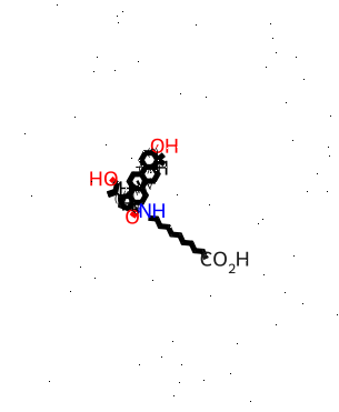 C=C(CO)[C@@H]1CC[C@]2(C(=O)NCCCCCCCCCCC(=O)O)CC[C@]3(C)[C@H](CCC4[C@@]5(C)CC[C@H](O)C(C)(C)[C@@H]5CC[C@]43C)[C@@H]12